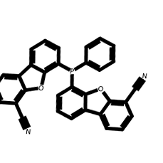 N#Cc1cccc2c1oc1c(P(c3ccccc3)c3cccc4c3oc3c(C#N)cccc34)cccc12